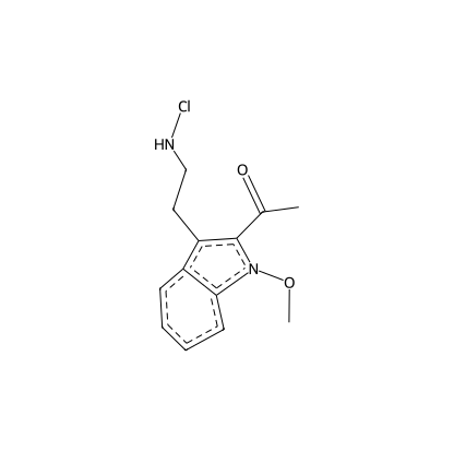 COn1c(C(C)=O)c(CCNCl)c2ccccc21